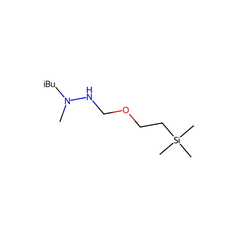 CCC(C)N(C)NCOCC[Si](C)(C)C